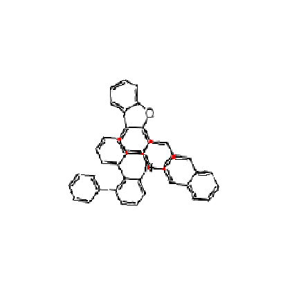 c1ccc(-c2ccccc2-c2c(-c3ccccc3)cccc2N(c2ccc3ccccc3c2)c2ccc3c(c2)oc2ccccc23)cc1